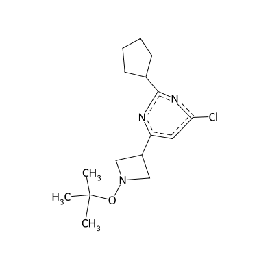 CC(C)(C)ON1CC(c2cc(Cl)nc(C3CCCC3)n2)C1